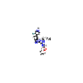 COc1nc(N2CC(OC3CCCCO3)C2)cc(-n2ncc3cc(C)c([C@H]4CCN(C)C[C@H]4F)cc32)n1